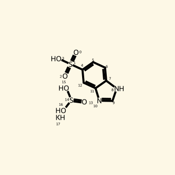 O=S(=O)(O)c1ccc2[nH]cnc2c1.O=S(O)O.[KH]